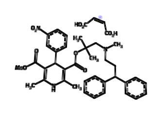 COC(=O)C1=C(C)NC(C)=C(C(=O)OC(C)(C)CN(C)CCC(c2ccccc2)c2ccccc2)C1c1cccc([N+](=O)[O-])c1.O=C(O)/C=C\C(=O)O